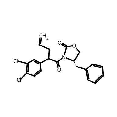 C=CCC(C(=O)N1C(=O)OC[C@@H]1Cc1ccccc1)c1ccc(Cl)c(Cl)c1